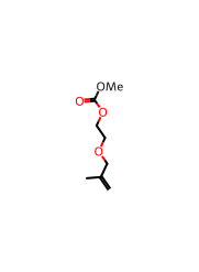 C=C(C)COCCOC(=O)OC